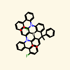 CC1(c2ccccc2)c2cccc3c2B2c4c(cccc4N(c4ccccc4-c4ccccc4F)c4cccc1c42)N3c1ccccc1-c1ccccc1F